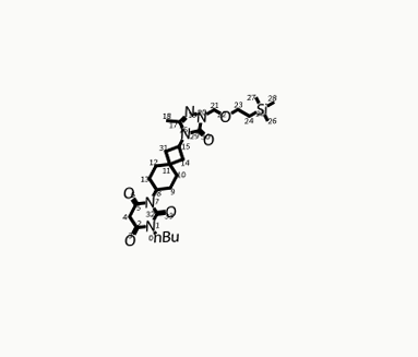 CCCCN1C(=O)CC(=O)N(C2CCC3(CC2)CC(n2c(C)nn(COCC[Si](C)(C)C)c2=O)C3)C1=O